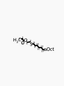 C=CC(=O)OCCSCCCCCCCCCCCCCC